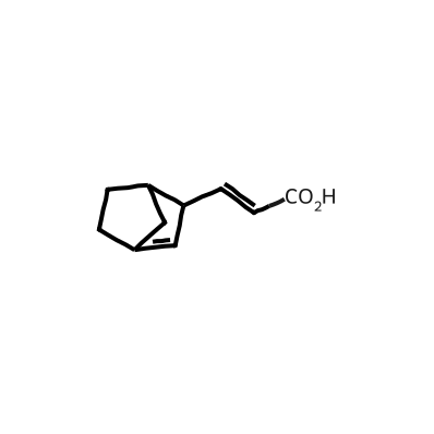 O=C(O)C=CC1C=C2CCC1C2